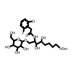 CCCCCCCCCCCCCCC(O)C(O)C(COC1OC(CO)C(O)C(O)C1O)NC(=O)Cc1c(F)cccc1Cl